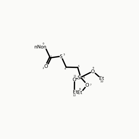 CCCCCCCCCC(=O)SCC[Si](OCC)(OCC)OCC